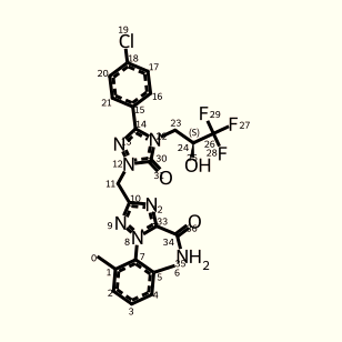 Cc1cccc(C)c1-n1nc(Cn2nc(-c3ccc(Cl)cc3)n(C[C@H](O)C(F)(F)F)c2=O)nc1C(N)=O